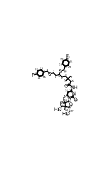 CC(C)(CCC(CCSCc1ccc(F)cc1)SCc1ccc(F)cc1)CC(=O)Nc1ccn([C@@H]2O[C@H](CO)C(C)(CO)C2(F)F)c(=O)n1